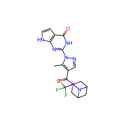 Cc1c(C(=O)N2CC3CC(C2)N3CC(F)(F)F)cnn1-c1nc2[nH]ccc2c(=O)[nH]1